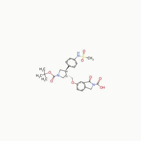 CC(C)(C)OC(=O)N1C[C@@H](COc2ccc3c(c2)C(=O)N(C(=O)O)C3)[C@H](c2ccc(NS(C)(=O)=O)cc2)C1